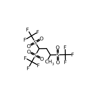 CC(CC(S(=O)(=O)C(F)(F)F)S(=O)(=O)C(F)(F)F)S(=O)(=O)C(F)(F)F